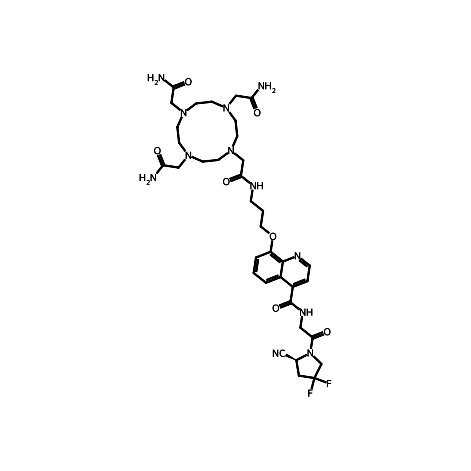 N#C[C@@H]1CC(F)(F)CN1C(=O)CNC(=O)c1ccnc2c(OCCCNC(=O)CN3CCN(CC(N)=O)CCN(CC(N)=O)CCN(CC(N)=O)CC3)cccc12